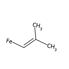 CC(C)=[CH][Fe]